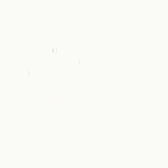 CC(C)(C)C(=O)c1ccc(CF)cc1